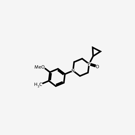 COc1cc(N2CCP(=O)(C3CC3)CC2)ccc1C